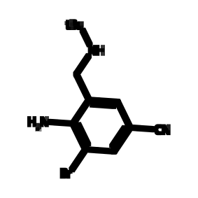 CC(C)(C)NCc1cc(C#N)cc(Br)c1N